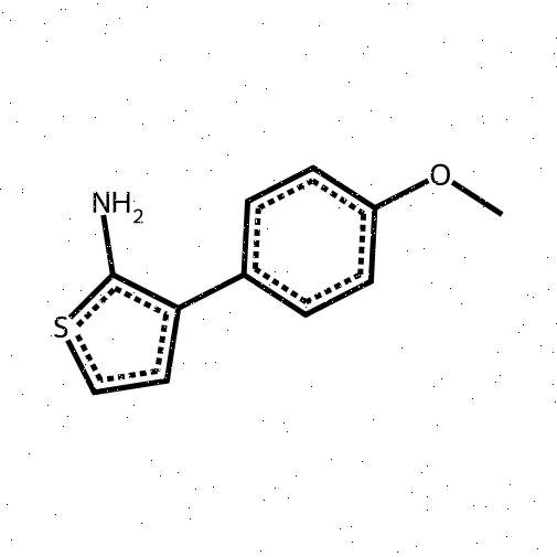 COc1ccc(-c2ccsc2N)cc1